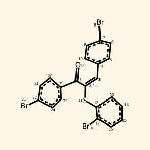 O=C(/C(=C\c1ccc(Br)cc1)Sc1ccccc1Br)c1ccc(Br)cc1